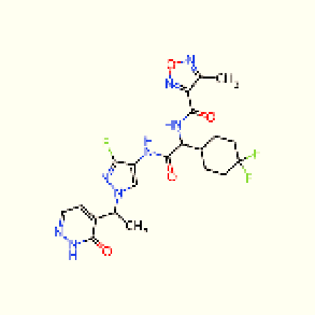 Cc1nonc1C(=O)NC(C(=O)Nc1cn(C(C)c2ccn[nH]c2=O)nc1F)C1CCC(F)(F)CC1